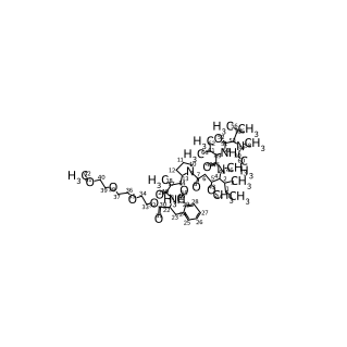 CCC(C)C(C(CC(=O)N1CCCC1C(OC)C(C)C(=O)NC(Cc1ccccc1)C(=O)OCCOCCOCCOC)OC)N(C)C(=O)C(NC(=O)C(C(C)C)N(C)CC)C(C)C